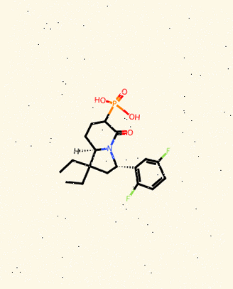 CCC1(CC)C[C@@H](c2cc(F)ccc2F)N2C(=O)C(P(=O)(O)O)CC[C@@H]21